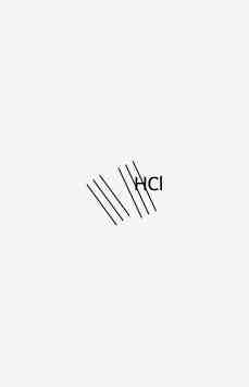 C#C.C#C.Cl